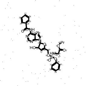 CC(C)OC(=O)[C@H](C)N[P@](=O)(OCC1=CC(O)C(n2cnc3c(NC(=O)c4ccccc4)ncnc32)O1)Oc1ccccc1